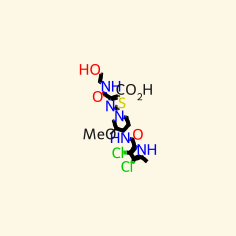 CO[C@H]1CN(c2nc(C(=O)NCCO)c(C(=O)O)s2)CC[C@H]1NC(=O)c1[nH]c(C)c(Cl)c1Cl